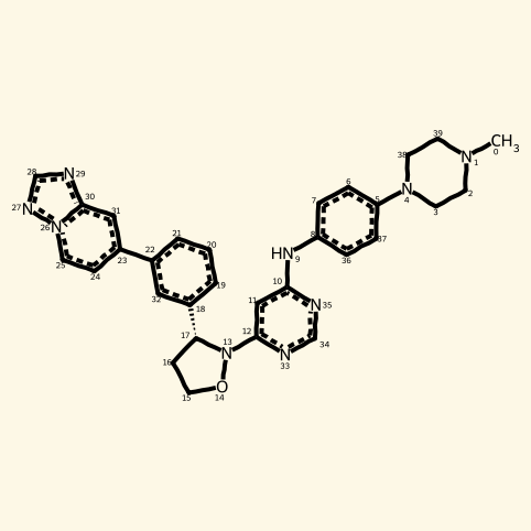 CN1CCN(c2ccc(Nc3cc(N4OCC[C@@H]4c4cccc(-c5ccn6ncnc6c5)c4)ncn3)cc2)CC1